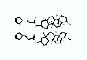 CC(=O)[C@H]1CC[C@H]2[C@@H]3CC[C@H]4C[C@H](OC(=O)CCC5CC=CC5)CC[C@]4(C)[C@H]3CC[C@]12C.CC(=O)[C@H]1CC[C@H]2[C@@H]3CC[C@H]4C[C@H](OC(=O)CCC5CC=CC5)CC[C@]4(C)[C@H]3CC[C@]12C